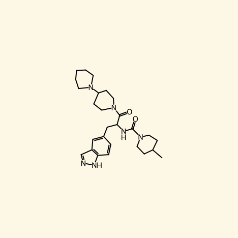 CC1CCN(C(=O)NC(Cc2ccc3[nH]ncc3c2)C(=O)N2CCC(N3CCCCC3)CC2)CC1